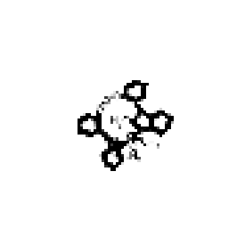 CC1=C2c3ccccc3C1c1cc(F)ccc1[O][Zr][O]c1ccc(F)cc1C1C(C)=C(c3ccccc31)[Si]2(C)C